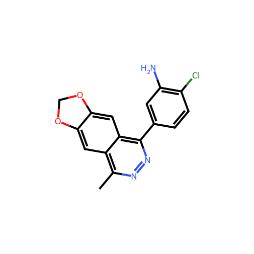 Cc1nnc(-c2ccc(Cl)c(N)c2)c2cc3c(cc12)OCO3